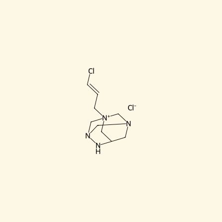 ClC=CC[N+]12CC3CN(CN(C1)N3)C2.[Cl-]